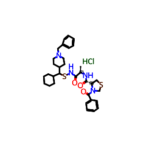 C[C@@H](NC(=O)[C@@H]1CSCN1C(=O)c1ccccc1)C(=O)NSC(C1CCCCC1)C1CCN(Cc2ccccc2)CC1.Cl